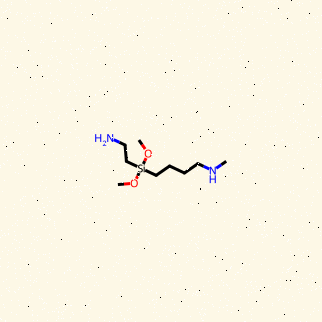 CNCCCC[Si](CCN)(OC)OC